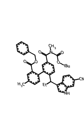 CCC(c1ccc(C(=O)N(C)C(=O)OC(C)(C)C)cc1-c1ccc(C)cc1C(=O)OCc1ccccc1)c1c[nH]c2cc(C#N)ccc12